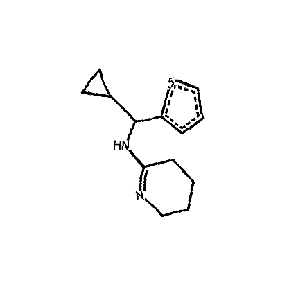 c1csc(C(NC2=NCCCC2)C2CC2)c1